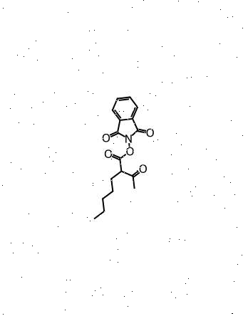 CCCCCC(C(C)=O)C(=O)ON1C(=O)c2ccccc2C1=O